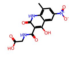 Cc1cc([N+](=O)[O-])cc2c(O)c(C(=O)NCC(=O)O)c(=O)[nH]c12